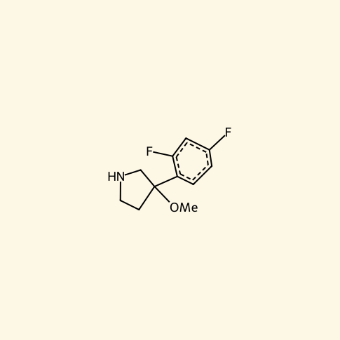 COC1(c2ccc(F)cc2F)CCNC1